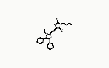 CCCCN1C(=O)/C(=C/C=C2\SC(c3ccccc3)=C(c3ccccc3)N2CC)SC1=S